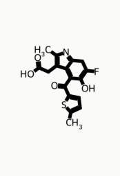 CC1=C(CC(=O)O)C2=C(C(=O)c3ccc(C)s3)C(O)=C(F)CC2=N1